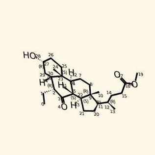 CC[C@H]1C(=O)[C@@H]2[C@H](CC[C@]3(C)[C@@H]([C@H](C)CCC(=O)OC)CC[C@@H]23)[C@@]2(C)CC[C@@H](O)C[C@@H]12